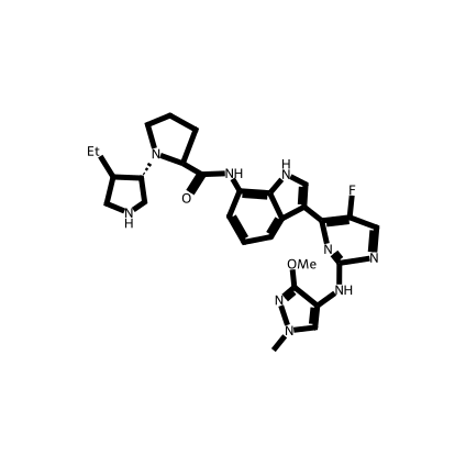 CCC1CNC[C@H]1N1CCCC1C(=O)Nc1cccc2c(-c3nc(Nc4cn(C)nc4OC)ncc3F)c[nH]c12